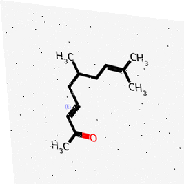 CC(=O)/C=C/CC(C)CC=C(C)C